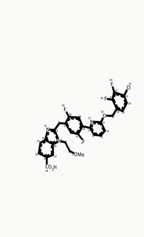 COCCn1c(Cc2cc(F)c(-c3cccc(OCc4ccc(Cl)c(F)c4F)n3)cc2F)nc2ccc(C(=O)O)cc21